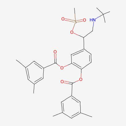 Cc1cc(C)cc(C(=O)Oc2ccc(C(CNC(C)(C)C)OS(C)(=O)=O)cc2OC(=O)c2cc(C)cc(C)c2)c1